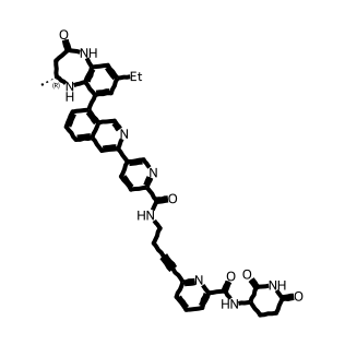 CCc1cc2c(c(-c3cccc4cc(-c5ccc(C(=O)NCCC#Cc6cccc(C(=O)NC7CCC(=O)NC7=O)n6)nc5)ncc34)c1)N[C@H](C)CC(=O)N2